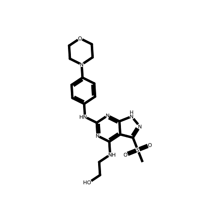 CS(=O)(=O)c1n[nH]c2nc(Nc3ccc(N4CCOCC4)cc3)nc(NCCO)c12